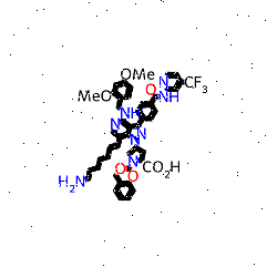 COc1ccc(CNc2ncc(/C=C/CCCCCN)c3c2c(-c2ccc(C(=O)Nc4cc(C(F)(F)F)ccn4)cc2)nn3[C@H]2CC(C(=O)O)N(C(=O)OCc3ccccc3)C2)c(OC)c1